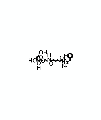 O=C[C@H](Cc1ccccc1)NNC(=O)CCCCC(=O)NCCO[C@@H]1O[C@H](CO)C[C@H](O)[C@@H]1O